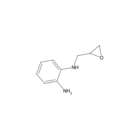 Nc1ccccc1NCC1CO1